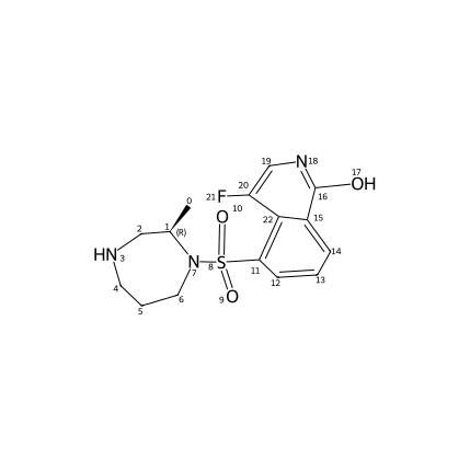 C[C@@H]1CNCCCN1S(=O)(=O)c1cccc2c(O)ncc(F)c12